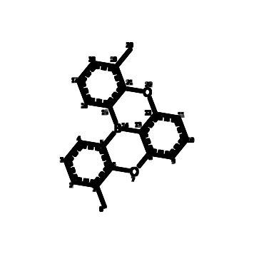 Cc1cccc2c1Oc1cccc3c1B2c1cccc(C)c1O3